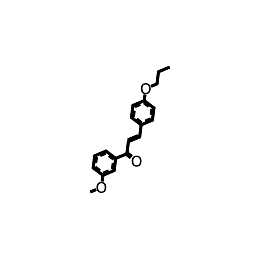 CCCOc1ccc(C=CC(=O)c2cccc(OC)c2)cc1